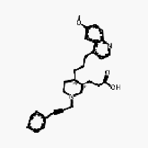 COc1ccc2nccc(CCC[C@@H]3CCN(CC#Cc4ccccc4)C[C@@H]3CCC(=O)O)c2c1